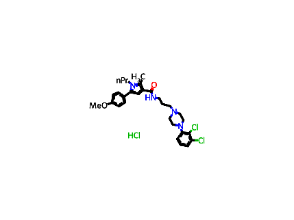 CCCn1c(-c2ccc(OC)cc2)cc(C(=O)NCCCN2CCN(c3cccc(Cl)c3Cl)CC2)c1C.Cl